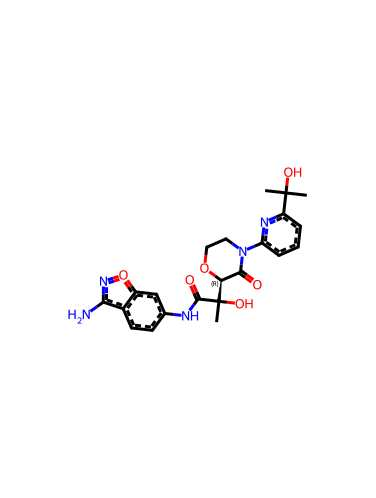 CC(C)(O)c1cccc(N2CCO[C@H](C(C)(O)C(=O)Nc3ccc4c(N)noc4c3)C2=O)n1